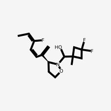 C=C(/C=C\C(F)=C/C)[C@@H]1CCON1C(O)C1(C)CC(F)(F)C1